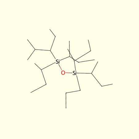 CCC[Si](O[Si](C(C)CC)(C(C)CC)C(CC)C(C)C)(C(C)CC)C(C)CC